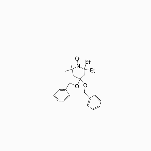 CCC1(CC)CC(OCc2ccccc2)(OCc2ccccc2)CC(C)(C)N1[O]